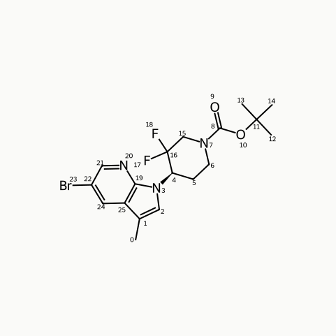 Cc1cn([C@@H]2CCN(C(=O)OC(C)(C)C)CC2(F)F)c2ncc(Br)cc12